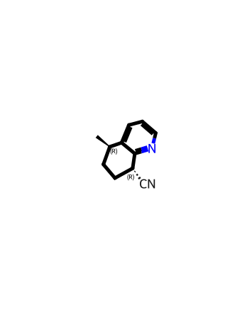 C[C@@H]1CC[C@@H](C#N)c2ncccc21